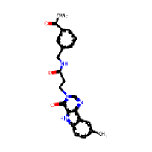 COC(=O)c1cccc(CNC(=O)CCn2cnc3c([nH]c4ccc(C)cc43)c2=O)c1